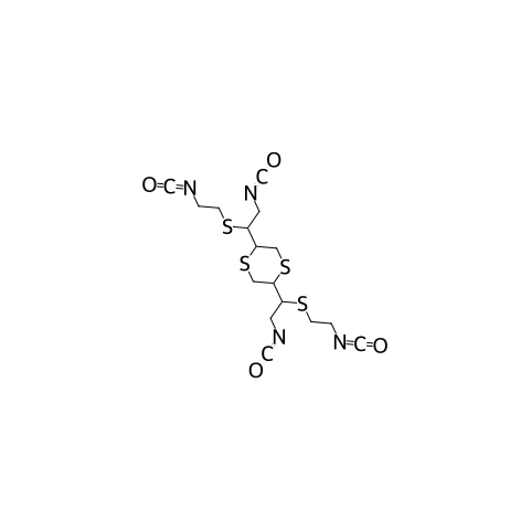 O=C=NCCSC(CN=C=O)C1CSC(C(CN=C=O)SCCN=C=O)CS1